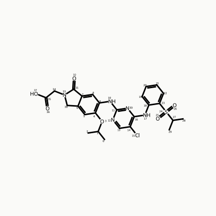 CC(C)Oc1cc2c(cc1Nc1ncc(Cl)c(Nc3ccccc3S(=O)(=O)C(C)C)n1)C(=O)N(CC(=O)O)C2